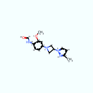 COc1cc(N2CC(n3ccc(C)n3)C2)ccc1NC=O